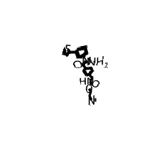 CN(C)CCOC(=O)NCc1ccc(C(=O)N(N)c2cccc(-c3cccs3)c2)cc1